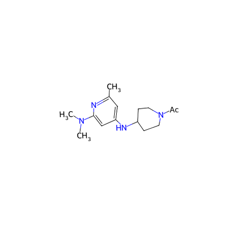 CC(=O)N1CCC(Nc2cc(C)nc(N(C)C)c2)CC1